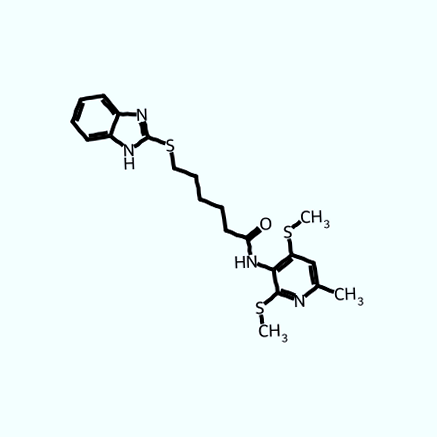 CSc1cc(C)nc(SC)c1NC(=O)CCCCCSc1nc2ccccc2[nH]1